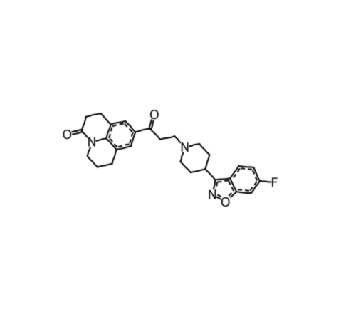 O=C(CCN1CCC(c2noc3cc(F)ccc23)CC1)c1cc2c3c(c1)CCC(=O)N3CCC2